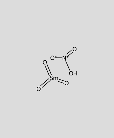 O=[N+]([O-])O.[O]=[Sm](=[O])=[O]